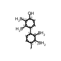 Bc1c(C)ccc(-c2ccc(O)c(B)c2B)c1B